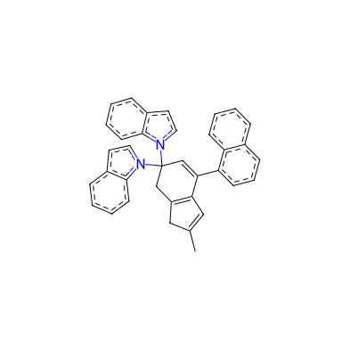 CC1=CC2=C(C1)CC(n1ccc3ccccc31)(n1ccc3ccccc31)C=C2c1cccc2ccccc12